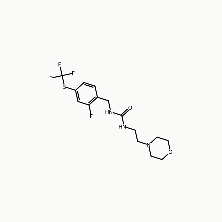 O=C(NCCN1CCOCC1)NCc1ccc(SC(F)(F)F)cc1F